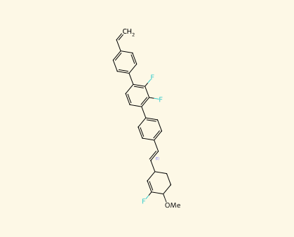 C=Cc1ccc(-c2ccc(-c3ccc(/C=C/C4C=C(F)C(OC)CC4)cc3)c(F)c2F)cc1